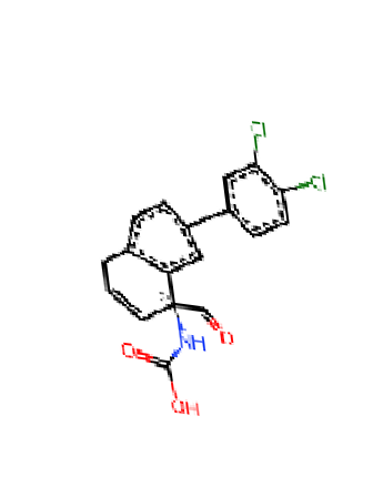 O=C[C@]1(NC(=O)O)C=CCc2ccc(-c3ccc(Cl)c(Cl)c3)cc21